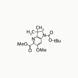 COC(=O)c1nc2c(cc1OC)N(C(=O)OC(C)(C)C)CC2(C)C